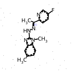 C/C(=N\Nc1nc2cc(C)ccc2n1C)c1ccc(F)cn1